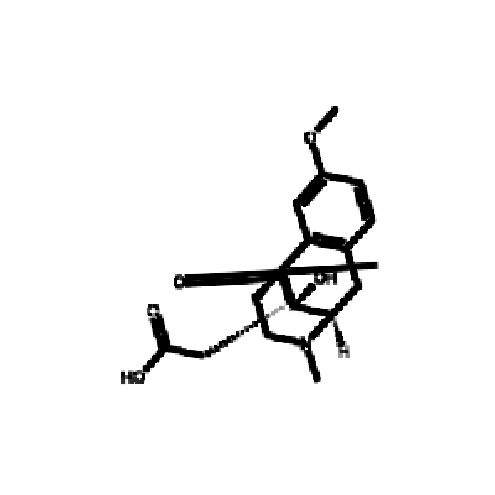 COc1ccc2c(c1)[C@]13CCN(C)[C@H](C2)[C@]1(O)C[C@H](CC(=O)O)C(=O)C3